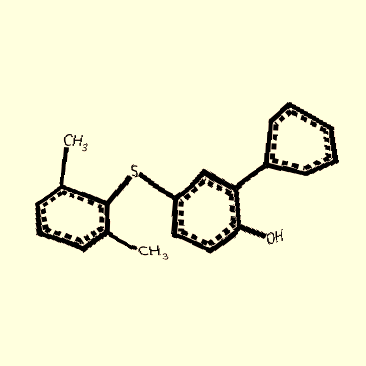 Cc1cccc(C)c1Sc1ccc(O)c(-c2ccccc2)c1